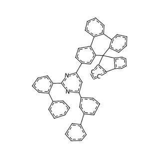 c1ccc(-c2cccc(-c3cc(-c4ccc5c(c4)C4(c6ccccc6-c6ccccc6-5)c5ccccc5-c5ccccc54)nc(-c4ccccc4-c4ccccc4)n3)c2)cc1